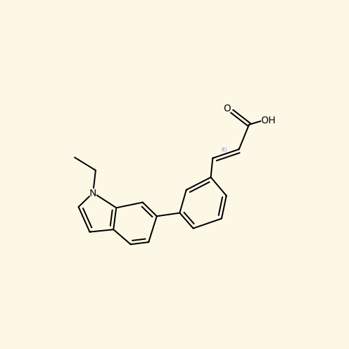 CCn1ccc2ccc(-c3cccc(/C=C/C(=O)O)c3)cc21